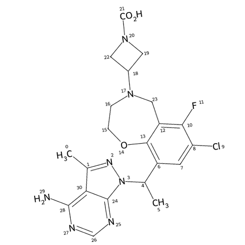 Cc1nn(C(C)c2cc(Cl)c(F)c3c2OCCN(C2CN(C(=O)O)C2)C3)c2ncnc(N)c12